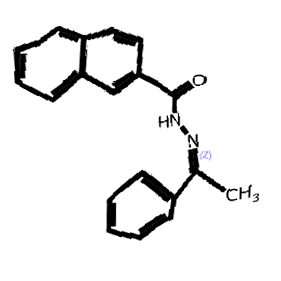 C/C(=N/NC(=O)c1ccc2ccccc2c1)c1ccccc1